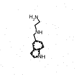 NCCNCc1ccc2[nH]ccc2c1